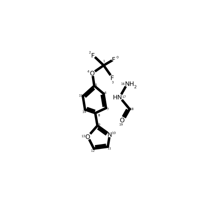 FC(F)(F)Oc1ccc(-c2ncco2)cc1.NNC=O